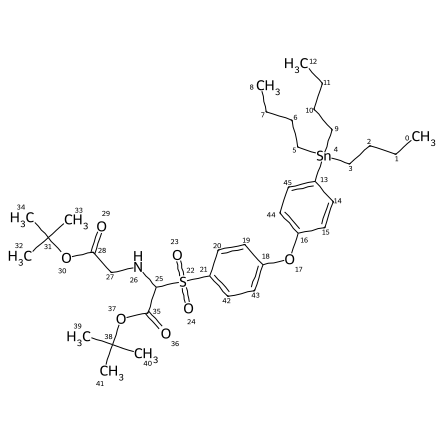 CCC[CH2][Sn]([CH2]CCC)([CH2]CCC)[c]1ccc(Oc2ccc(S(=O)(=O)C(NCC(=O)OC(C)(C)C)C(=O)OC(C)(C)C)cc2)cc1